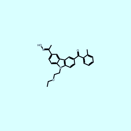 CCOCCn1c2ccc(C(=O)c3ccccc3C)cc2c2cc(C(C)=NO)ccc21